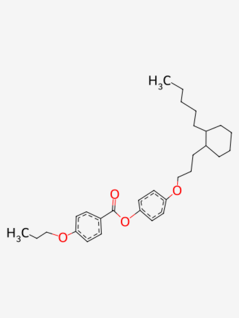 CCCCCC1CCCCC1CCCOc1ccc(OC(=O)c2ccc(OCCC)cc2)cc1